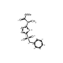 CNC(=O)N(C)c1nnc(S(=O)(=O)Cc2ccccc2)s1